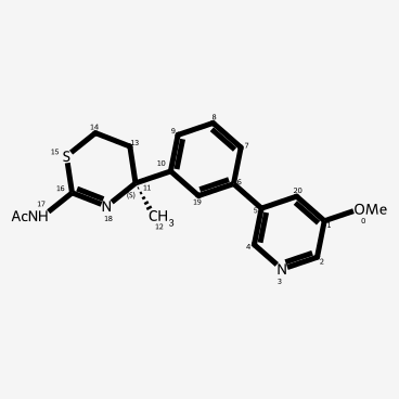 COc1cncc(-c2cccc([C@]3(C)CCSC(NC(C)=O)=N3)c2)c1